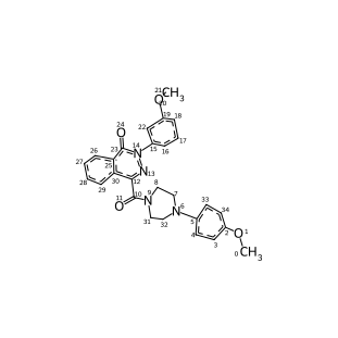 COc1ccc(N2CCN(C(=O)c3nn(-c4cccc(OC)c4)c(=O)c4ccccc34)CC2)cc1